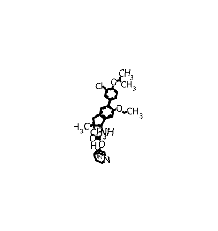 CCOc1cc2c(cc1-c1ccc(OC(C)C)c(Cl)c1)CC(C)(C)[C@H]2NC(=O)O[C@H]1CN2CCC1CC2